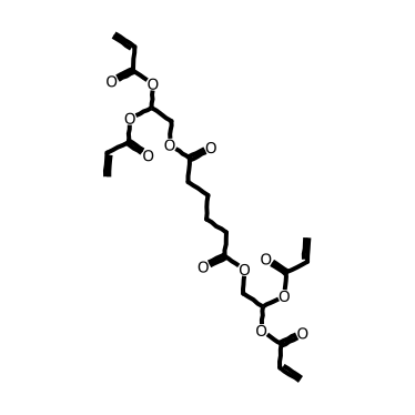 C=CC(=O)OC(COC(=O)CCCCC(=O)OCC(OC(=O)C=C)OC(=O)C=C)OC(=O)C=C